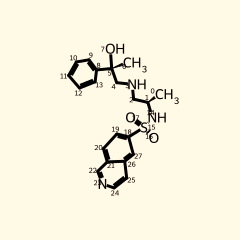 C[C@H](CNC[C@@](C)(O)c1ccccc1)NS(=O)(=O)c1ccc2cnccc2c1